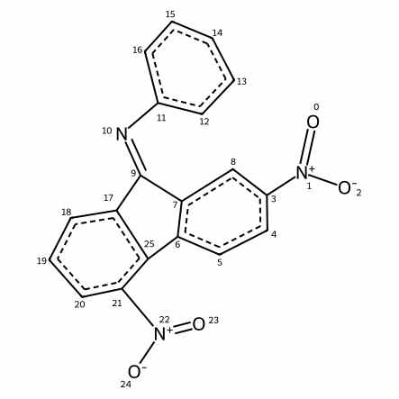 O=[N+]([O-])c1ccc2c(c1)C(=Nc1ccccc1)c1cccc([N+](=O)[O-])c1-2